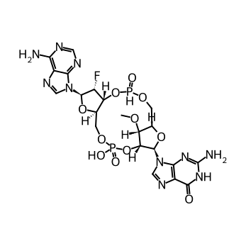 CO[C@H]1[C@H]2OP(=O)(O)OC[C@H]3O[C@@H](n4cnc5c(N)ncnc54)[C@H](F)[C@@H]3O[PH](=O)OC[C@H]1O[C@H]2n1cnc2c(=O)[nH]c(N)nc21